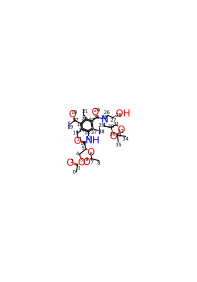 CC(=O)OCC(OC(C)=O)C(=O)Nc1c(I)c(C(=O)I)c(I)c(C(=O)N(CCO)CC2COC(C)(C)O2)c1I